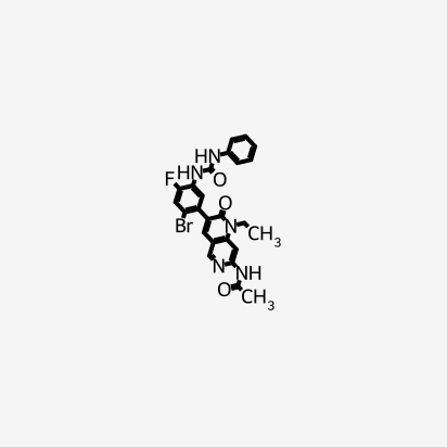 CCn1c(=O)c(-c2cc(NC(=O)Nc3ccccc3)c(F)cc2Br)cc2cnc(NC(C)=O)cc21